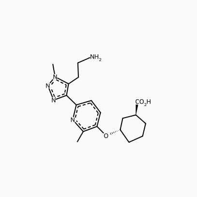 Cc1nc(-c2nnn(C)c2CCN)ccc1O[C@H]1CCC[C@H](C(=O)O)C1